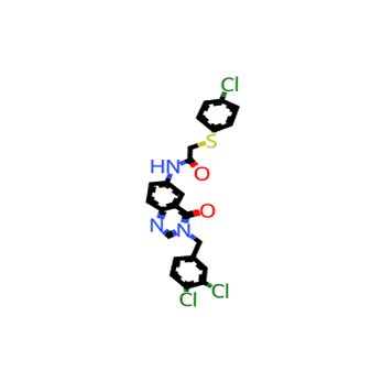 O=C(CSc1ccc(Cl)cc1)Nc1ccc2ncn(Cc3ccc(Cl)c(Cl)c3)c(=O)c2c1